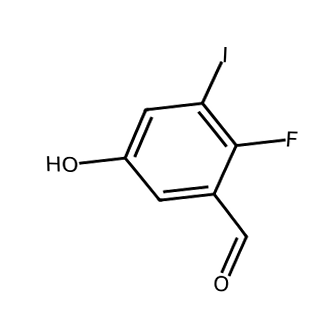 O=Cc1cc(O)cc(I)c1F